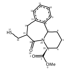 COC(=O)[C@@H]1CCCC2c3ccccc3CC(CS)C(=O)N21